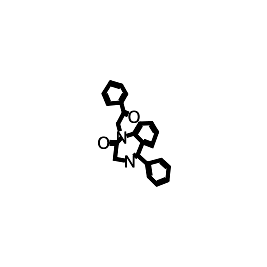 O=C(CN1C(=O)CN=C(c2ccccc2)c2ccccc21)c1ccccc1